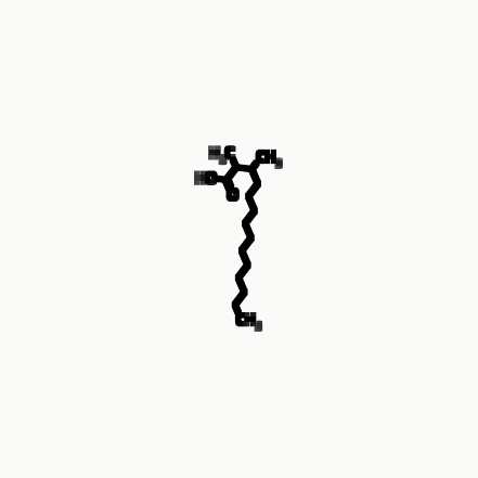 CCCCCCCCCCCC(C)C(C)C(=O)O